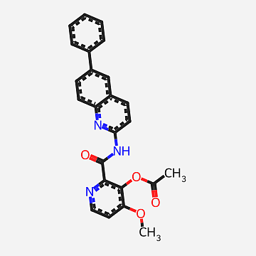 COc1ccnc(C(=O)Nc2ccc3cc(-c4ccccc4)ccc3n2)c1OC(C)=O